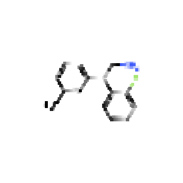 [CH2]c1cccc(C(CN)c2ccccc2F)c1